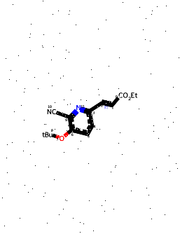 CCOC(=O)/C=C/c1ccc(OC(C)(C)C)c(C#N)n1